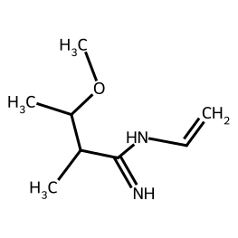 C=CNC(=N)C(C)C(C)OC